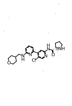 O=C(Nc1cc(-c2cccc(NCC3CCOCC3)n2)c(Cl)cn1)[C@@H]1CCCN1